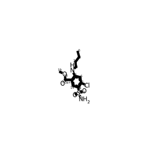 CCCCNc1cc(Cl)c(S(N)(=O)=O)cc1C(=O)OC